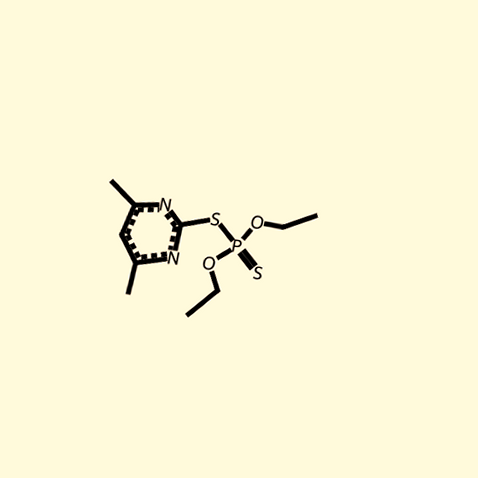 CCOP(=S)(OCC)Sc1nc(C)cc(C)n1